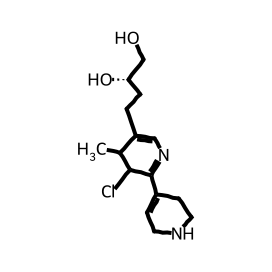 CC1C(CC[C@H](O)CO)=CN=C(C2=CCNCC2)C1Cl